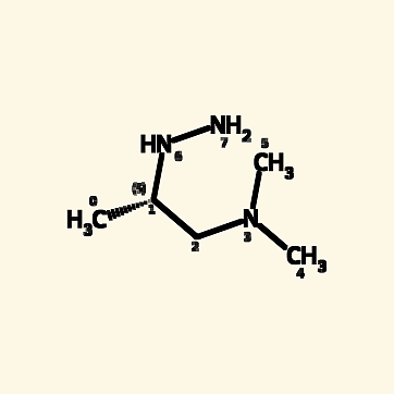 C[C@@H](CN(C)C)NN